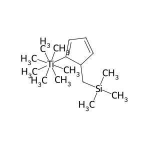 C[Si](C)(C)CC1C=CC=[C]1[Ti]([CH3])([CH3])([CH3])([CH3])([CH3])([CH3])[CH3]